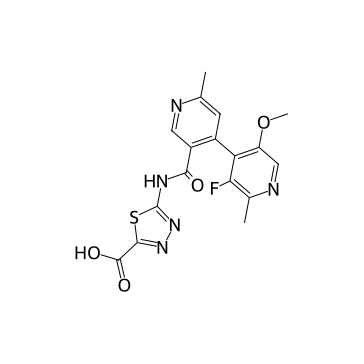 COc1cnc(C)c(F)c1-c1cc(C)ncc1C(=O)Nc1nnc(C(=O)O)s1